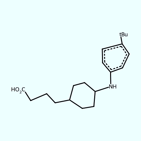 CC(C)(C)c1ccc(NC2CCC(CCCC(=O)O)CC2)cc1